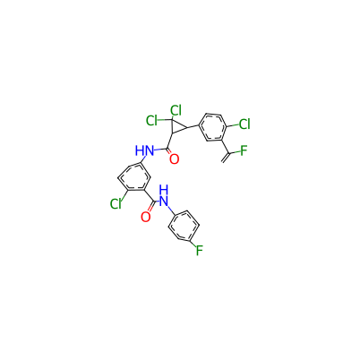 C=C(F)c1cc(C2C(C(=O)Nc3ccc(Cl)c(C(=O)Nc4ccc(F)cc4)c3)C2(Cl)Cl)ccc1Cl